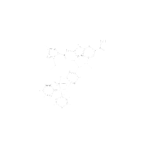 CCn1nc(C)cc1C(=O)Nc1nc2cc(C(N)=O)cc(OC)c2n1CCc1ccc(O[Si](c2ccccc2)(c2ccccc2)C(C)(C)C)cc1